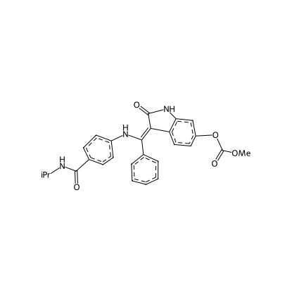 COC(=O)Oc1ccc2c(c1)NC(=O)/C2=C(\Nc1ccc(C(=O)NC(C)C)cc1)c1ccccc1